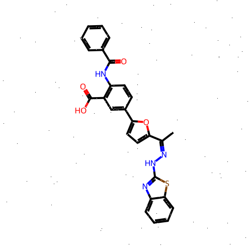 CC(=NNc1nc2ccccc2s1)c1ccc(-c2ccc(NC(=O)c3ccccc3)c(C(=O)O)c2)o1